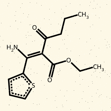 CCCC(=O)C(C(=O)OCC)=C(N)c1cccs1